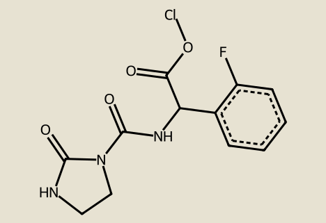 O=C(OCl)C(NC(=O)N1CCNC1=O)c1ccccc1F